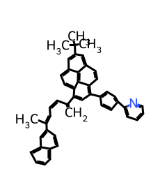 C=C(/C=C\C=C(/C)c1ccc2ccccc2c1)c1cc(-c2ccc(-c3ccccn3)cc2)c2ccc3cc(C(C)(C)C)cc4ccc1c2c43